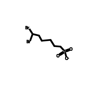 [O]S(=O)(=O)CCCCCC(Br)Br